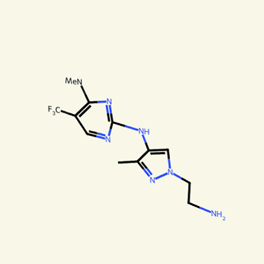 CNc1nc(Nc2cn(CCN)nc2C)ncc1C(F)(F)F